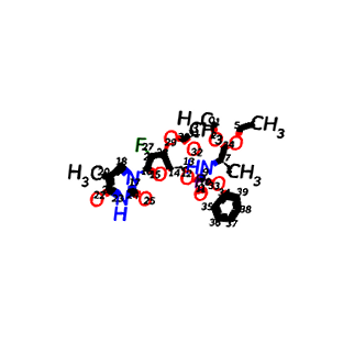 CCOC(OCC)[C@H](C)NP(=O)(OC[C@@H]1O[C@H](n2cc(C)c(=O)[nH]c2=O)[C@H](F)[C@H]1OC(C)=O)Oc1ccccc1